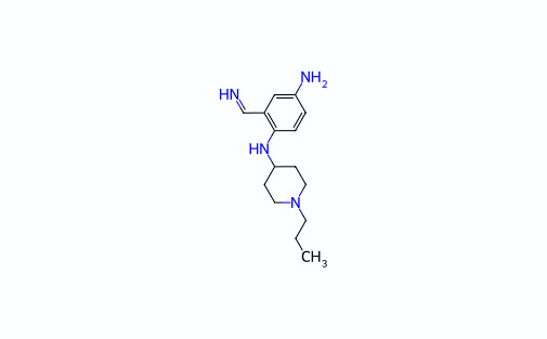 CCCN1CCC(Nc2ccc(N)cc2C=N)CC1